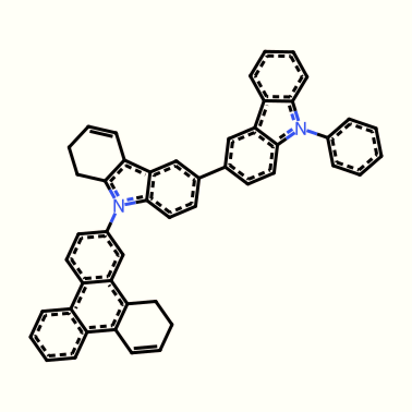 C1=Cc2c(c3cc(-n4c5c(c6cc(-c7ccc8c(c7)c7ccccc7n8-c7ccccc7)ccc64)C=CCC5)ccc3c3ccccc23)CC1